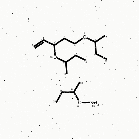 C=CC(CCOC(C)CC)OC(C)CC.CCC(C)O[SiH3]